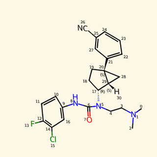 CN(C)CCN(C(=O)Nc1ccc(F)c(Cl)c1)[C@@H]1CC[C@]2(c3cccc(C#N)c3)C[C@H]12